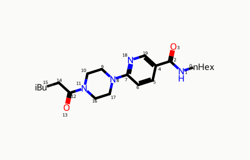 CCCCCCNC(=O)c1ccc(N2CCN(C(=O)CC(C)CC)CC2)nc1